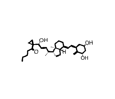 C=C1/C(=C\C=C2/CCC[C@]3(C)[C@@H]([C@H](C)/C=C/[C@@H](O)C4(C(=O)CCCC)CC4)CC[C@@H]23)C[C@@H](O)C[C@@H]1O